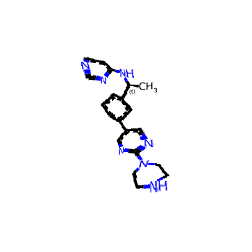 C[C@H](Nc1ccncn1)c1cccc(-c2cnc(N3CCNCC3)nc2)c1